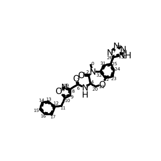 CN1C(=O)C(NC(=O)c2cc(Cc3ccccc3)on2)COc2ccc(-c3nnn[nH]3)cc21